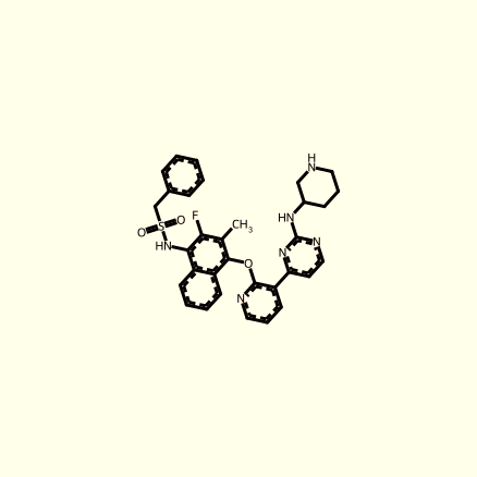 Cc1c(F)c(NS(=O)(=O)Cc2ccccc2)c2ccccc2c1Oc1ncccc1-c1ccnc(NC2CCCNC2)n1